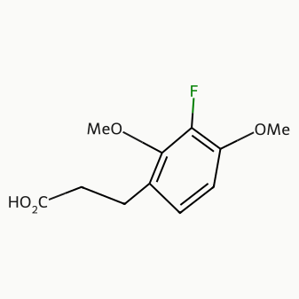 COc1ccc(CCC(=O)O)c(OC)c1F